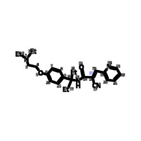 CCN(CC)CCOc1ccc(C(CC)(CC)NC(=O)/C(C#N)=C/c2ccccn2)cc1